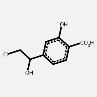 O=C(O)c1ccc(C(O)CCl)cc1O